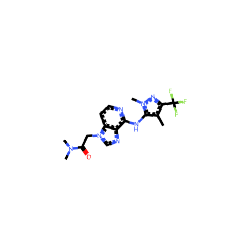 Cc1c(C(F)(F)F)nn(C)c1Nc1nccc2c1ncn2CC(=O)N(C)C